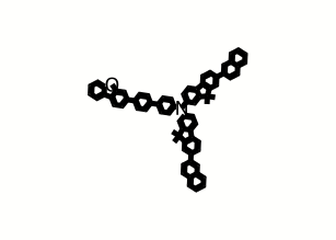 CC1(C)c2cc(-c3ccc4ccccc4c3)ccc2-c2ccc(N(c3ccc(-c4ccc(-c5ccc6c(c5)oc5ccccc56)cc4)cc3)c3ccc4c(c3)C(C)(C)c3cc(-c5ccc6ccccc6c5)ccc3-4)cc21